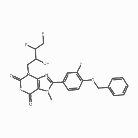 Cn1c(-c2ccc(OCc3ccccc3)c(F)c2)nc2c1c(=O)[nH]c(=O)n2CC(O)C(F)CF